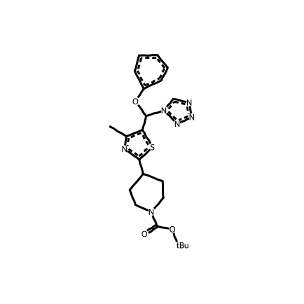 Cc1nc(C2CCN(C(=O)OC(C)(C)C)CC2)sc1C(Oc1ccccc1)n1cnnn1